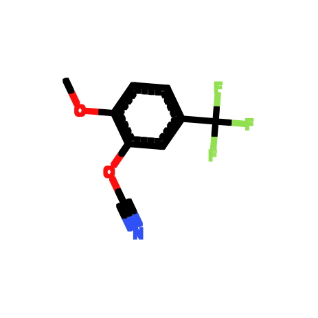 COc1ccc(C(F)(F)F)cc1OC#N